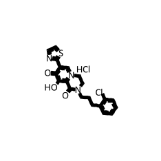 Cl.O=C1c2c(O)c(=O)c(-c3nccs3)cn2CCN1CCCc1ccccc1Cl